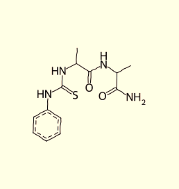 CC(NC(=O)C(C)NC(=S)Nc1ccccc1)C(N)=O